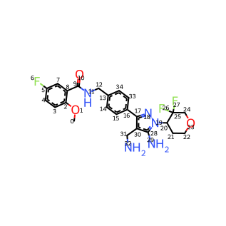 COc1ccc(F)cc1C(=O)NCc1ccc(-c2nn(C3CCOCC3(F)F)c(N)c2CN)cc1